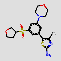 Nc1nc(C(F)(F)F)c(-c2cc(N3CCOCC3)cc(S(=O)(=O)C3CCOC3)c2)s1